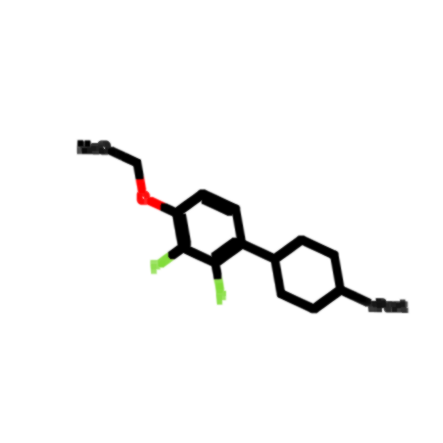 CCCCCC1CCC(c2ccc(OCOC)c(F)c2F)CC1